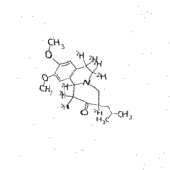 [2H]C1(CC(C)C)CN2C([2H])([2H])C([2H])([2H])c3cc(OC)c(OC)cc3C2([2H])C([2H])([2H])C1=O